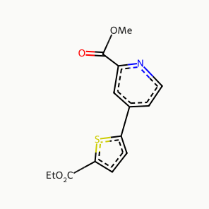 CCOC(=O)c1ccc(-c2ccnc(C(=O)OC)c2)s1